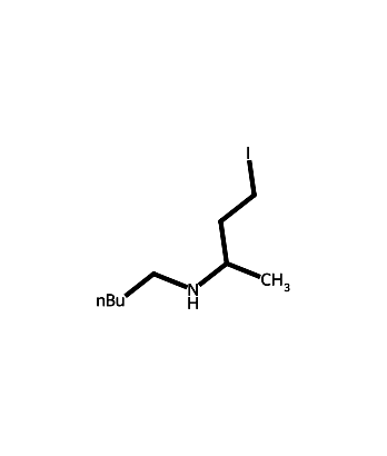 CCCCCNC(C)CCI